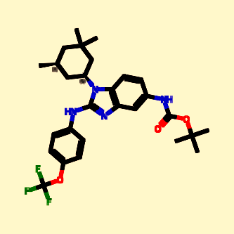 C[C@@H]1C[C@H](n2c(Nc3ccc(OC(F)(F)F)cc3)nc3cc(NC(=O)OC(C)(C)C)ccc32)CC(C)(C)C1